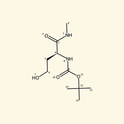 CNC(=O)[C@H](CCO)NC(=O)OC(C)(C)C